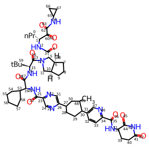 CCC[C@@H](NC(=O)[C@@H]1[C@H]2CCC[C@H]2CN1C(=O)[C@@H](NC(=O)[C@@H](NC(=O)c1cnc(C2CCC(c3ccc(C(=O)NC4CCC(=O)NC4=O)nc3)C(C)C2)cn1)C1CCCCC1)C(C)(C)C)C(=O)C(=O)NC1CC1